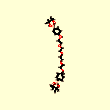 CC1(C)OB(c2ccc(OCCOCCOCCOCCOc3ccc(B4OC(C)(C)C(C)(C)O4)cc3)cc2)OC1(C)C